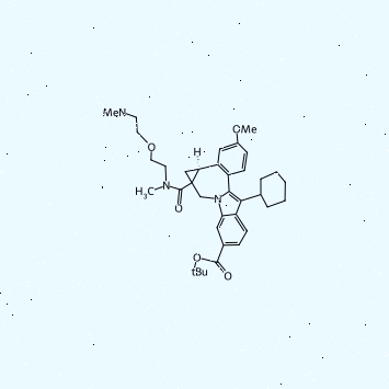 CNCCOCCN(C)C(=O)C12C[C@H]1c1cc(OC)ccc1-c1c(C3CCCCC3)c3ccc(C(=O)OC(C)(C)C)cc3n1C2